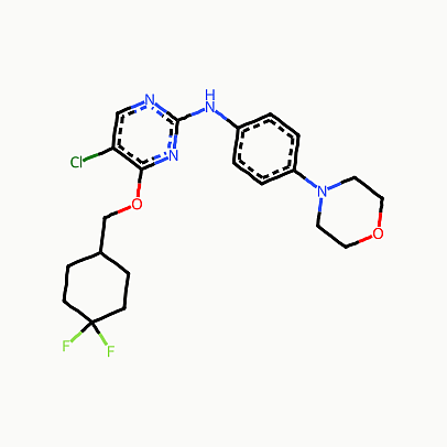 FC1(F)CCC(COc2nc(Nc3ccc(N4CCOCC4)cc3)ncc2Cl)CC1